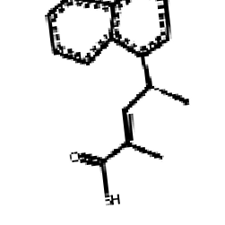 C/C(=C\[C@H](C)c1cccc2ccccc12)C(=O)S